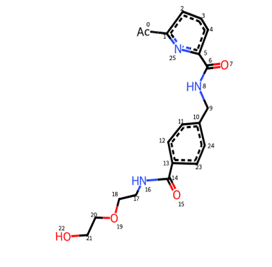 CC(=O)c1cccc(C(=O)NCc2ccc(C(=O)NCCOCCO)cc2)n1